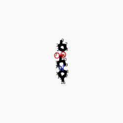 Cc1ccc(OC(=O)C2CCN(c3ccc(C)cc3)CC2)cc1